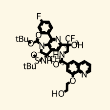 CC(C)(C)OC(=O)N1C[C@@](C)(N[S+]([O-])C(C)(C)C)c2cc([C@](O)(CNC(=O)c3cc(OCCO)c4ncccc4c3)C(F)(F)F)nc(-c3ccc(F)cc3)c21